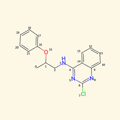 CC(CNc1nc(Cl)nc2ccccc12)Oc1ccccc1